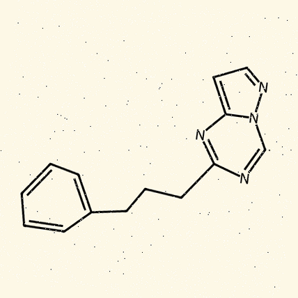 [c]1nc(CCCc2ccccc2)nc2ccnn12